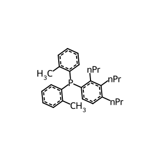 CCCc1ccc(P(c2ccccc2C)c2ccccc2C)c(CCC)c1CCC